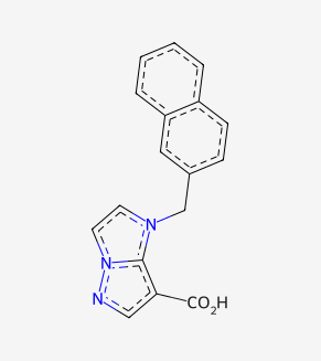 O=C(O)c1cnn2ccn(Cc3ccc4ccccc4c3)c12